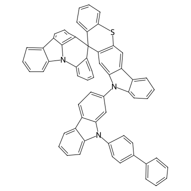 c1ccc(-c2ccc(-n3c4ccccc4c4ccc(-n5c6ccccc6c6cc7c(cc65)C5(c6ccccc6S7)c6ccccc6-n6c7ccccc7c7cccc5c76)cc43)cc2)cc1